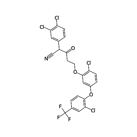 N#CC(C(=O)CCOc1cc(Oc2ccc(C(F)(F)F)cc2Cl)ccc1Cl)c1ccc(Cl)c(Cl)c1